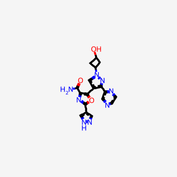 NC(=O)c1nc(-c2cn[nH]c2)oc1-c1cn(C2CC(O)C2)nc1-c1cnccn1